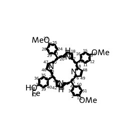 COc1ccc(-c2c3nc(c(-c4ccc(OC)cc4)c4ccc([nH]4)c(-c4ccc(OC)cc4)c4nc(c(-c5ccc(O)cc5)c5ccc2[nH]5)C=C4)C=C3)cc1.[Fe]